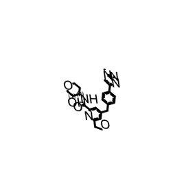 Cn1cc(-c2ccc(Cc3cc(C(=O)N[C@@H]4CCOC[C@H]4O)nc4c3OCC4)cc2)nn1